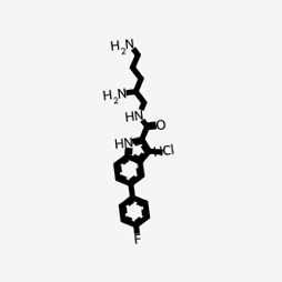 Cc1c(C(=O)NCC(N)CCCN)[nH]c2ccc(-c3ccc(F)cc3)cc12.Cl